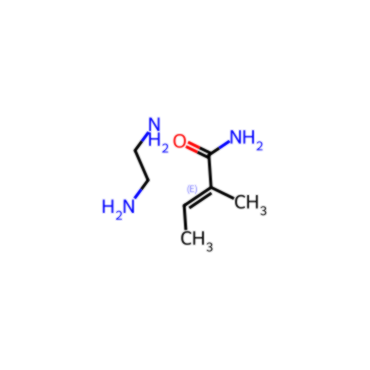 C/C=C(\C)C(N)=O.NCCN